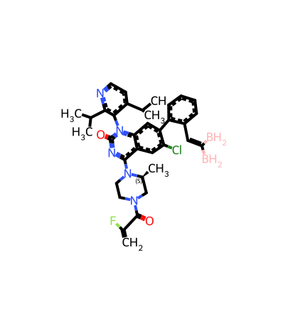 BC(B)=Cc1ccccc1-c1cc2c(cc1Cl)c(N1CCN(C(=O)C(=C)F)C[C@@H]1C)nc(=O)n2-c1c(C(C)C)ccnc1C(C)C